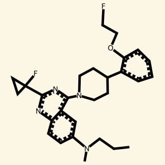 CCCN(C)c1ccc2nc(C3(F)CC3)nc(N3CCC(c4ccccc4OCCF)CC3)c2c1